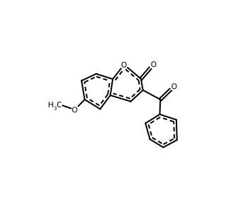 COc1ccc2oc(=O)c(C(=O)c3ccccc3)cc2c1